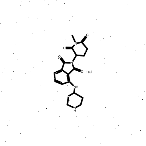 CN1C(=O)CCC(N2C(=O)c3cccc(NC4CCNCC4)c3C2=O)C1=O.Cl